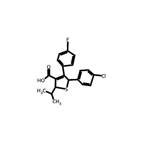 CC(C)C1SC(c2ccc(Cl)cc2)C(c2ccc(F)cc2)=C1C(=O)O